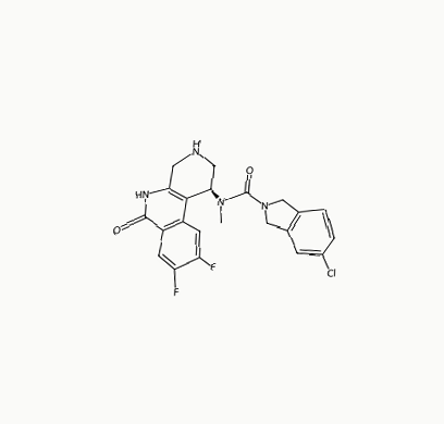 CN(C(=O)N1Cc2ccc(Cl)cc2C1)[C@@H]1CNCc2[nH]c(=O)c3cc(F)c(F)cc3c21